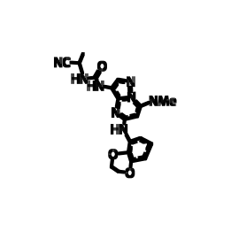 CNc1cc(Nc2cccc3c2OCCO3)nc2c(NC(=O)NC(C)C#N)cnn12